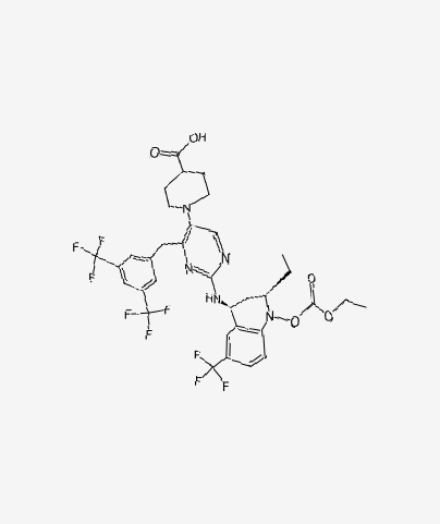 CCOC(=O)ON1c2ccc(C(F)(F)F)cc2[C@@H](Nc2ncc(N3CCC(C(=O)O)CC3)c(Cc3cc(C(F)(F)F)cc(C(F)(F)F)c3)n2)C[C@H]1CC